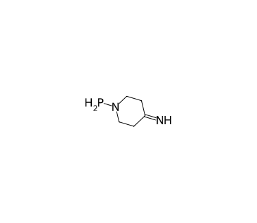 N=C1CCN(P)CC1